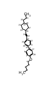 CCCCCOc1ccc(-c2ccc(C#CC3CCC(CCC)CC3)cc2)cc1